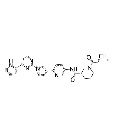 C=CC(=O)N1CCC[C@H](C(=O)Nc2ccc(-c3cnn(-c4cccc(-c5ccn[nH]5)n4)c3)nc2)C1